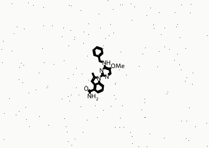 COc1cnc(-n2c(C)cc3c(C(N)=O)cccc32)nc1NCc1c[c]ccc1